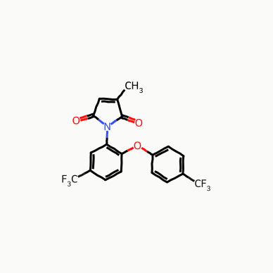 CC1=CC(=O)N(c2cc(C(F)(F)F)ccc2Oc2ccc(C(F)(F)F)cc2)C1=O